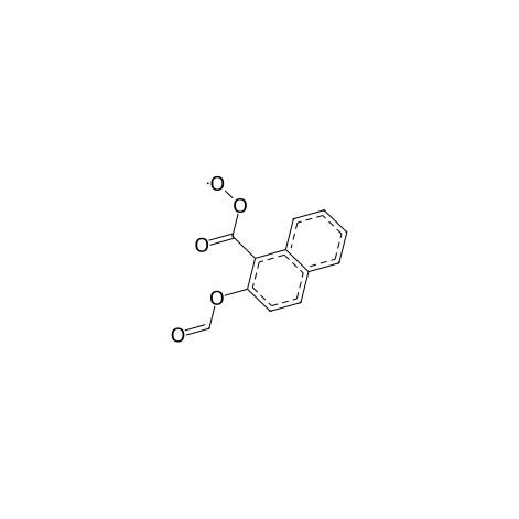 [O]OC(=O)c1c(OC=O)ccc2ccccc12